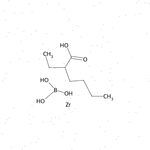 CCCCC(CC)C(=O)O.OB(O)O.[Zr]